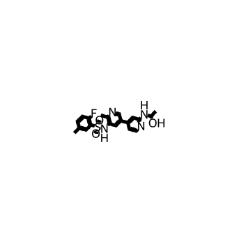 Cc1ccc(F)c(S(=O)(=O)Nc2cc(-c3ccnc(NC(C)O)c3)cnc2C)c1